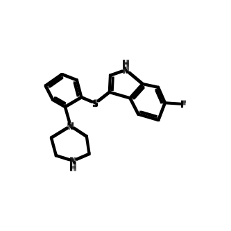 Fc1ccc2c(Sc3ccccc3N3CCNCC3)c[nH]c2c1